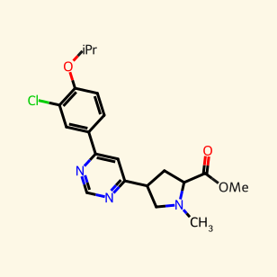 COC(=O)C1CC(c2cc(-c3ccc(OC(C)C)c(Cl)c3)ncn2)CN1C